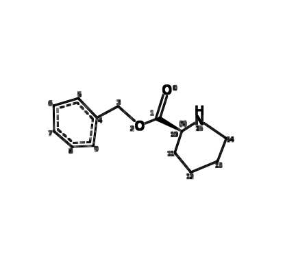 O=C(OCc1ccccc1)[C@@H]1CCCCN1